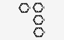 c1ccncc1.c1ccncc1.c1ccncc1.c1ccncc1